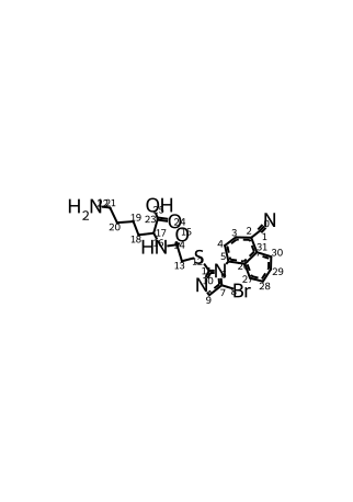 N#Cc1ccc(-n2c(Br)cnc2SCC(=O)NC(CCCCN)C(=O)O)c2ccccc12